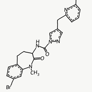 CN1C(=O)C(NC(=O)n2cc(Cc3cccc(F)n3)cn2)CCc2ccc(Br)cc21